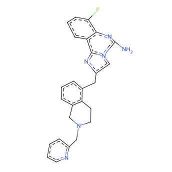 Nc1nc2c(F)cccc2c2nc(Cc3cccc4c3CCN(Cc3ccccn3)C4)cn12